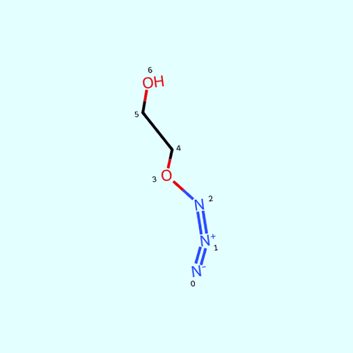 [N-]=[N+]=NOCCO